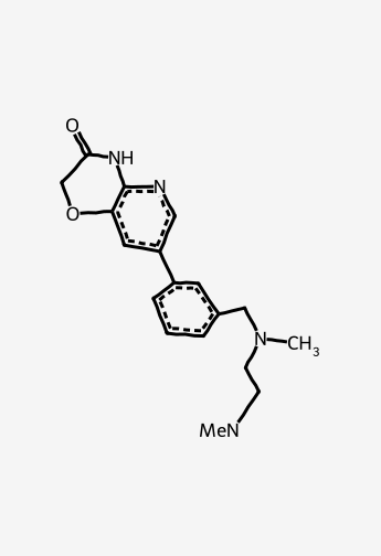 CNCCN(C)Cc1cccc(-c2cnc3c(c2)OCC(=O)N3)c1